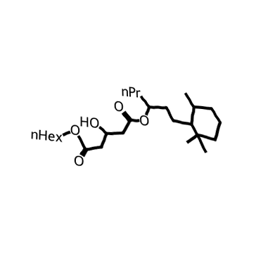 CCCCCCOC(=O)CC(O)CC(=O)OC(CCC)CCC1C(C)CCCC1(C)C